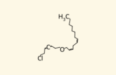 CCCCCCC/C=C\C/C=C\COCCC=C=CCCCl